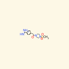 CS(=O)(=O)N1CCN(C(=O)Cc2ccc(C(=N)N)cc2)CC1